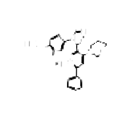 COc1ccc(N2C=NOC2C(=O)/C(=C\C(=O)c2ccccc2)N2CCCCC2)cc1OC